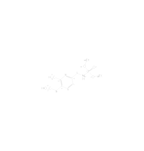 CCOP(=O)(NCc1ccc(CC(=O)O)c(C)c1)OCC